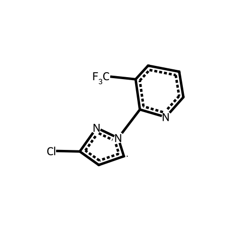 FC(F)(F)c1cccnc1-n1[c]cc(Cl)n1